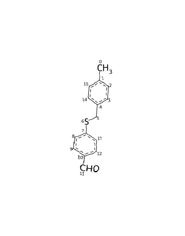 Cc1ccc(CSc2ccc(C=O)cc2)cc1